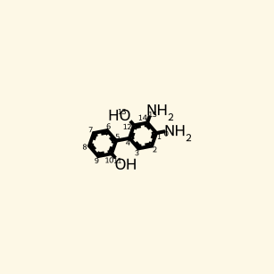 Nc1ccc(-c2ccccc2O)c(O)c1N